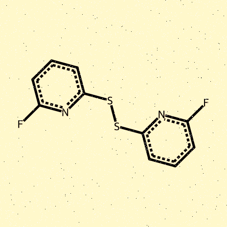 Fc1cccc(SSc2cccc(F)n2)n1